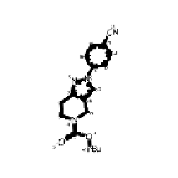 CCCCOC(=O)N1CCc2nn(-c3ccc(C#N)cc3)cc2C1